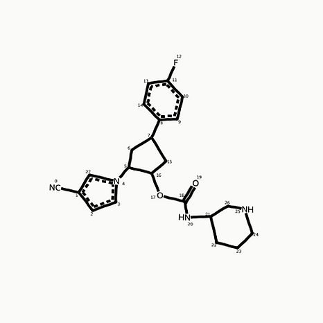 N#Cc1ccn(C2CC(c3ccc(F)cc3)CC2OC(=O)NC2CCCNC2)c1